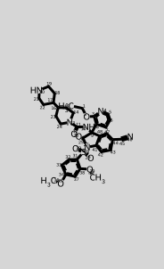 CCOc1ncccc1C1(NC(=O)N2CCC(C3CCNCC3)CC2)C(=O)N(S(=O)(=O)c2ccc(OC)cc2OC)c2ccc(C#N)cc21